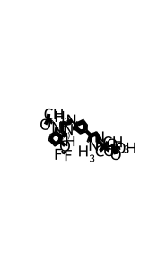 CC1OC1N1c2cccc(OC(F)F)c2[C@H]2C[C@@H]1c1nc3ccc(-c4cnc(C(C)(C)OP(=O)(O)O)nc4)cc3n12